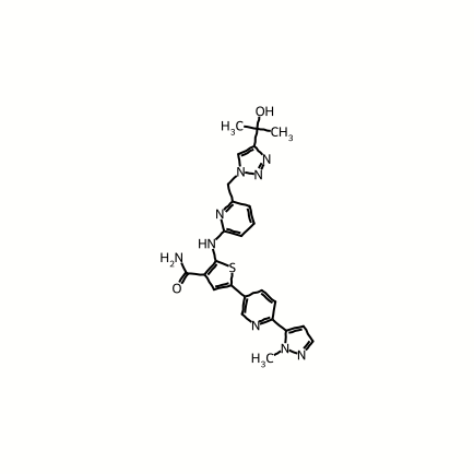 Cn1nccc1-c1ccc(-c2cc(C(N)=O)c(Nc3cccc(Cn4cc(C(C)(C)O)nn4)n3)s2)cn1